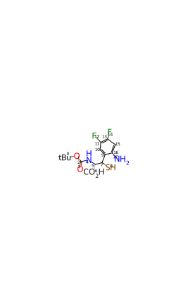 CC(C)(C)OC(=O)N[C@@H](C(=O)O)C(S)c1cc(F)c(F)cc1N